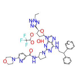 CCn1nnc([C@H]2O[C@@H](n3cnc4c(NCC(c5ccccc5)c5ccccc5)nc(N5CC[C@@H](NC(=O)c6ccc(N7CCOCC7)nc6)C5)nc43)[C@H](O)[C@@H]2OC(=O)C(F)(F)F)n1